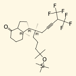 CC(C)(CCC[C@](C)(CC#CC(C(F)(F)F)C(F)(F)F)[C@H]1CCC2C(=O)CCC[C@@]21C)O[Si](C)(C)C